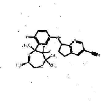 CC1(C)OCC(N)=NC(C)(c2cc(NC3CCc4cc(C#N)cnc43)ccc2F)C1(F)F